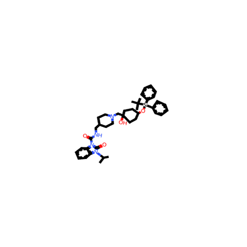 CC(C)n1c(=O)n(C(=O)NCC2CCN(CC3(O)CCC(O[Si](c4ccccc4)(c4ccccc4)C(C)(C)C)CC3)CC2)c2ccccc21